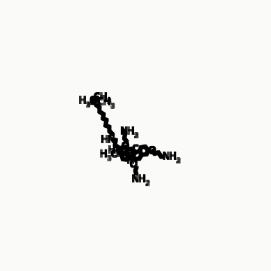 CC(CCCNCCCCCCCCCC[Si](C)(C)C)C1CC[C@H]2C3[C@H](OCCCN)CC4C[C@H](OCCCN)CC[C@]4(C)[C@H]3C[C@H](OCCCN)[C@]12C